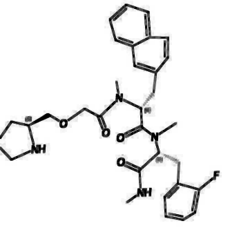 CNC(=O)[C@@H](Cc1ccccc1F)N(C)C(=O)[C@@H](Cc1ccc2ccccc2c1)N(C)C(=O)COC[C@@H]1CCCN1